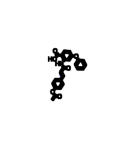 CC(=O)Oc1ccc(/C=C/C(=O)Nc2cc(Oc3ccccc3)ccc2C(=O)O)cc1